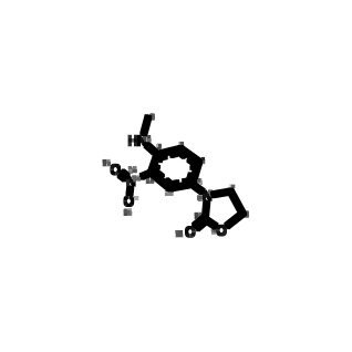 CNc1ccc(N2CCOC2=O)cc1[N+](=O)[O-]